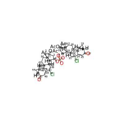 CC(=O)O[C@]1(C(C)=O)C[C@@H](OS(=O)(=O)O[C@@H]2C[C@](OC(C)=O)(C(C)=O)[C@@]3(C)CC[C@H]4[C@@H](C=C(Cl)C5=CC(=O)[C@@H]6C[C@@H]6[C@@]54C)[C@H]23)[C@H]2[C@@H]3C=C(Cl)C4=CC(=O)[C@@H]5C[C@@H]5[C@]4(C)[C@H]3CC[C@@]21C